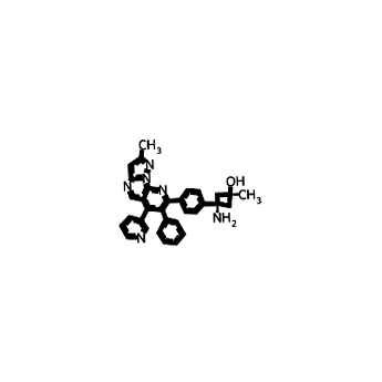 Cc1cc2ncc3c(-c4cccnc4)c(-c4ccccc4)c(-c4ccc([C@]5(N)C[C@](C)(O)C5)cc4)nc3n2n1